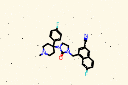 CN1CCC(c2ccc(F)cc2)(N2CCN(Cc3cc(C#N)cc4ccc(F)cc34)C2=O)CC1